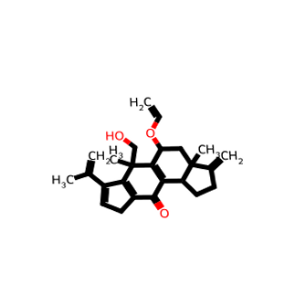 C=COC1CC2(C)C(=C)CCC2C2=C1C(C)(CO)C1=C(CC=C1C(=C)C)C2=O